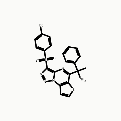 CCc1ccc(S(=O)(=O)c2nnn3c2nc(C(C)(N)c2ccccc2)c2sccc23)cc1